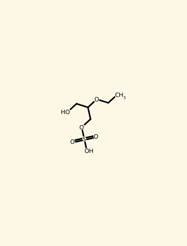 CCOC(CO)COS(=O)(=O)O